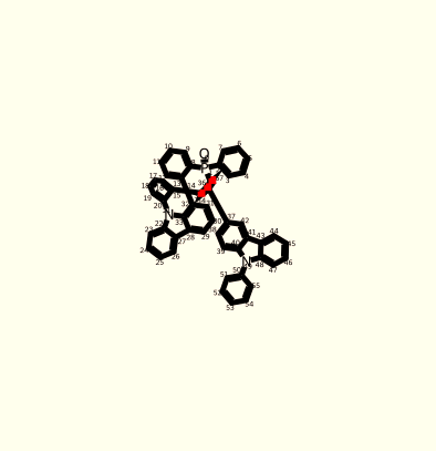 O=P1(c2ccccc2)c2ccccc2C2(c3ccccc3-n3c4ccccc4c4cccc2c43)c2cc(-c3ccc4c(c3)c3ccccc3n4-c3ccccc3)ccc21